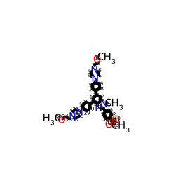 COCCN1CCN(c2ccc(-c3cc(-c4ccc(N5CCN(CCOC)CC5)cc4)c4nc(-c5ccc(S(C)(=O)=O)cc5)n(C)c4c3)cc2)CC1